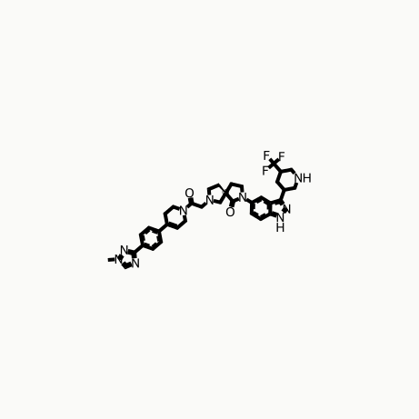 Cn1cnc(-c2ccc(C3=CCN(C(=O)CN4CC[C@]5(CCN(c6ccc7[nH]nc(C8CNCC(C(F)(F)F)C8)c7c6)C5=O)C4)CC3)cc2)n1